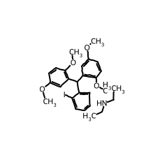 CCNCC.COc1ccc(OC)c(C(c2ccccc2I)c2cc(OC)ccc2OC)c1